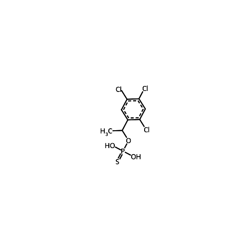 CC(OP(O)(O)=S)c1cc(Cl)c(Cl)cc1Cl